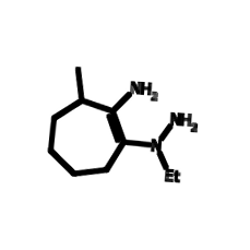 CCN(N)C1=C(N)C(C)CCCC1